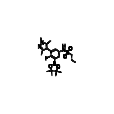 CCCS(=O)(=O)Nc1cc(B2OC(C)(C)C(C)(C)O2)c(F)c(-c2c(C)nn(C)c2C)c1